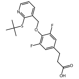 CC(C)(C)Sc1ncccc1COc1c(F)cc(CCC(=O)O)cc1F